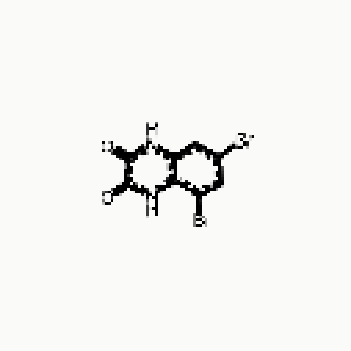 O=c1[nH]c2cc(Br)cc(Br)c2[nH]c1=O